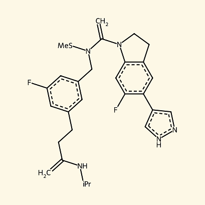 C=C(CCc1cc(F)cc(CN(SC)C(=C)N2CCc3cc(-c4cn[nH]c4)c(F)cc32)c1)NC(C)C